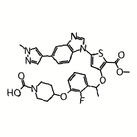 COC(=O)c1sc(-n2cnc3cc(-c4cnn(C)c4)ccc32)cc1OC(C)c1cccc(OC2CCN(C(=O)O)CC2)c1F